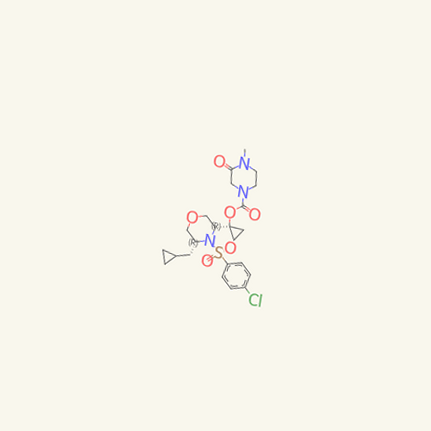 CN1CCN(C(=O)OC2([C@H]3COC[C@@H](CC4CC4)N3S(=O)(=O)c3ccc(Cl)cc3)CC2)CC1=O